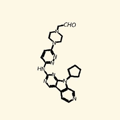 O=CCN1CCN(c2ccc(Nc3ncc4c5ccncc5n(C5CCCC5)c4n3)nn2)CC1